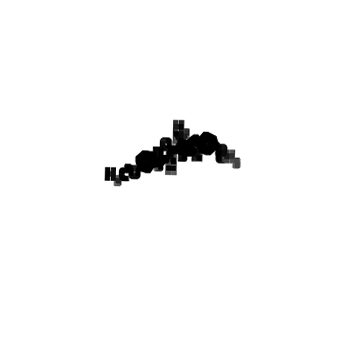 CCOc1ccc2nc(NC(=O)c3sc4nc5cc(OC)ccc5cc4c3N)sc2c1